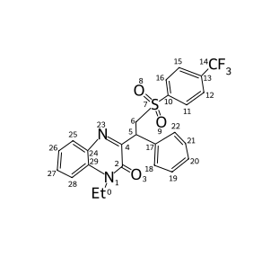 CCn1c(=O)c(C(CS(=O)(=O)c2ccc(C(F)(F)F)cc2)c2ccccc2)nc2ccccc21